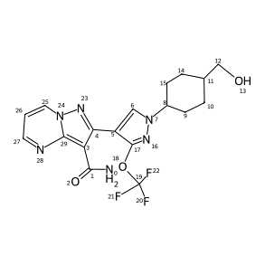 NC(=O)c1c(-c2cn(C3CCC(CO)CC3)nc2OC(F)(F)F)nn2cccnc12